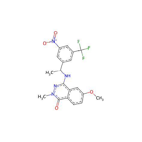 COc1ccc2c(=O)n(C)nc(NC(C)c3cc([N+](=O)[O-])cc(C(F)(F)F)c3)c2c1